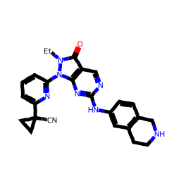 CCn1c(=O)c2cnc(Nc3ccc4c(c3)CCNC4)nc2n1-c1cccc(C2(C#N)CC2)n1